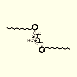 CCCCCCCCCCc1ccccc1OC(=O)CC(C(=O)Oc1ccccc1CCCCCCCCCC)S(=O)(=O)O